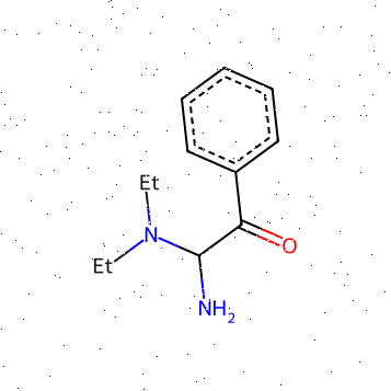 CCN(CC)C(N)C(=O)c1ccccc1